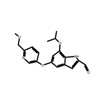 COCc1ccc(Oc2cc(OC(C)C)c3[nH]c(C=O)cc3c2)cn1